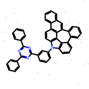 c1ccc(-c2nc(-c3ccccc3)nc(-c3cccc(-n4c5cccc6c5c5c7c(cc8ccccc8c7ccc54)-c4ccccc4-6)c3)n2)cc1